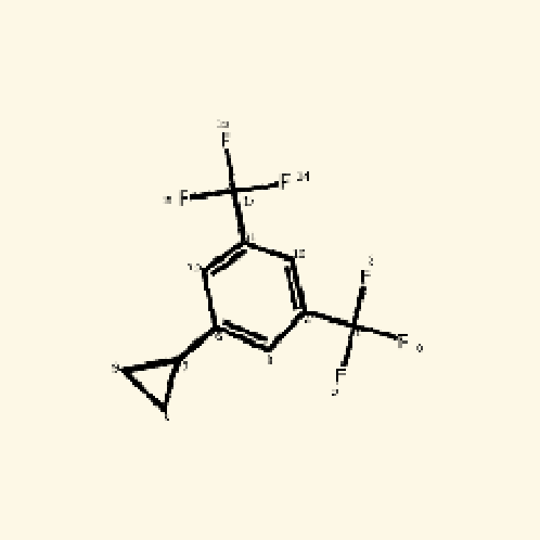 FC(F)(F)c1cc(C2CC2)cc(C(F)(F)F)c1